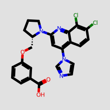 O=C(O)c1cccc(OC[C@@H]2CCCN2c2cc(-n3ccnc3)c3ccc(Cl)c(Cl)c3n2)c1